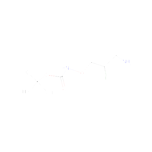 CC(C)(C)OC(=O)NOCC(F)CN